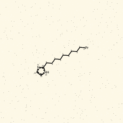 CC(C)CCCCCCCCCc1ncc[nH]1